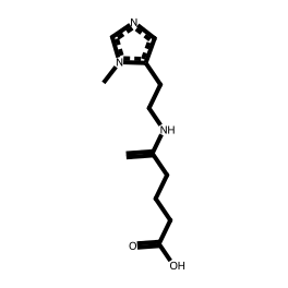 C=C(CCCC(=O)O)NCCc1cncn1C